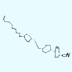 N#Cc1ccc([C@H]2CC[C@H](CC[C@H]3CC[C@H](CCCC=CCCF)CC3)CC2)cc1